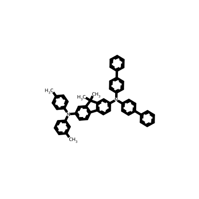 Cc1ccc(N(c2cccc(C)c2)c2ccc3c(c2)C(C)(C)c2cc(N(c4ccc(-c5ccccc5)cc4)c4ccc(-c5ccccc5)cc4)ccc2-3)cc1